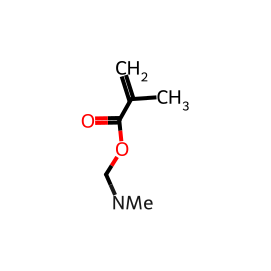 C=C(C)C(=O)OCNC